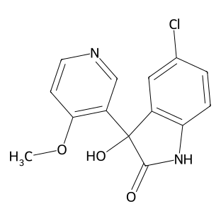 COc1ccncc1C1(O)C(=O)Nc2ccc(Cl)cc21